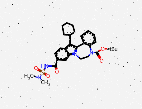 CN(C)S(=O)(=O)NC(=O)c1ccc2c(C3CCCCC3)c3n(c2c1)CCN(C(=O)OC(C)(C)C)c1ccccc1-3